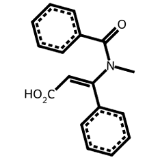 CN(C(=O)c1ccccc1)C(=CC(=O)O)c1ccccc1